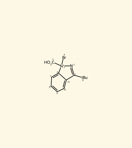 CC(C)(C)C1=N[N+](Br)(C(=O)O)c2ccccc21